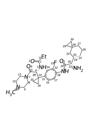 CCC(=O)N[C@@H](C(=O)N1CCN(C)CC1)C1(c2ccc(NC(=O)[C@@H](N)[C@H]3CCCC4(CC4)C3)c(F)c2)CC1